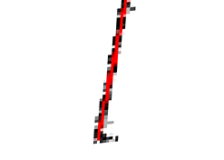 COCCOCCOCCC(=O)NCCOCCOCCOCCOCCOCCOCCOCCOCCOCCOCCOCCOCCOCCOCCOCCOCCOCCOCCOCCOCCOCCOCCOCCOCCC(=O)NCCOCCOCCC(C)=O